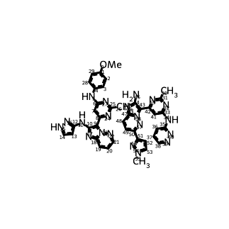 COc1ccc(Nc2cc(-c3c(Nc4cc[nH]n4)nc4cccnn34)nc(C)n2)cc1.Cc1nc(Nc2cccnn2)cc(-c2c(N)nc3ccc(-c4ccn(C)n4)nn23)n1